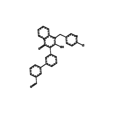 O=Cc1cccc(-c2cccc(-c3c(O)[n+](Cc4ccc(Cl)nc4)c4ccccn4c3=O)c2)c1